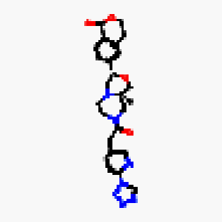 O=C1OCCc2cc([C@H]3CN4CCN(C(=O)Cc5ccc(-n6cnnn6)nc5)C[C@@H]4CO3)ccc21